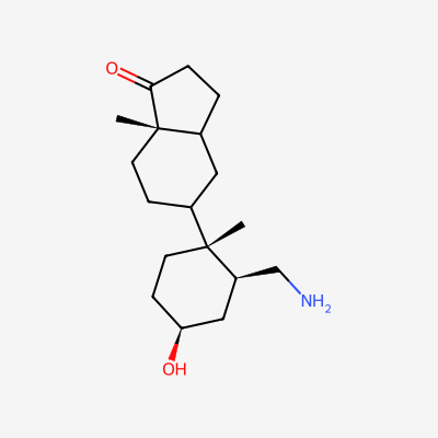 C[C@]12CCC([C@@]3(C)CC[C@H](O)C[C@@H]3CN)CC1CCC2=O